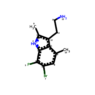 Cc1[nH]c2c(F)c(Br)cc(C)c2c1CCN